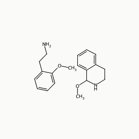 COC1NCCc2ccccc21.COc1ccccc1CCN